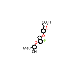 COc1cc(Oc2ccc(F)c3c2CC[C@H]3Oc2ccc3c(c2)OCC3CC(=O)O)ccc1C#N